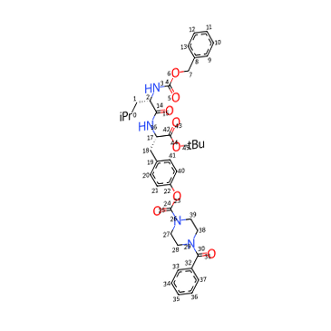 CC(C)C[C@H](NC(=O)OCc1ccccc1)C(=O)N[C@@H](Cc1ccc(OC(=O)N2CCN(C(=O)c3ccccc3)CC2)cc1)C(=O)OC(C)(C)C